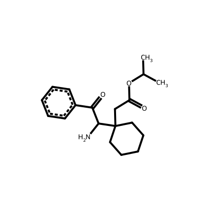 CC(C)OC(=O)CC1(C(N)C(=O)c2ccccc2)CCCCC1